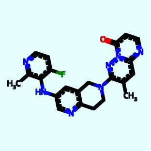 Cc1cc2nccc(=O)n2nc1N1CCc2ncc(Nc3c(F)ccnc3C)cc2C1